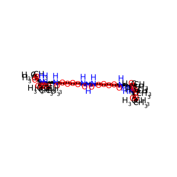 CC(C)(C)OC(=O)CC[C@H](NC(=O)N[C@@H](CCCCNC(=O)CCOCCOCCOCCOCCNC(=O)CNCC(=O)NCCOCCOCCOCCOCCC(=O)NCCCC[C@H](NC(=O)N[C@@H](CCC(=O)OC(C)(C)C)C(=O)OC(C)(C)C)C(=O)OC(C)(C)C)C(=O)OC(C)(C)C)C(=O)OC(C)(C)C